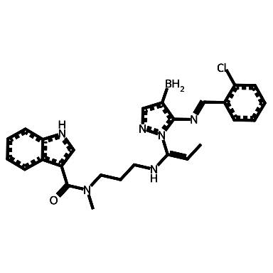 Bc1cnn(/C(=C\C)NCCCN(C)C(=O)c2c[nH]c3ccccc23)c1/N=C/c1ccccc1Cl